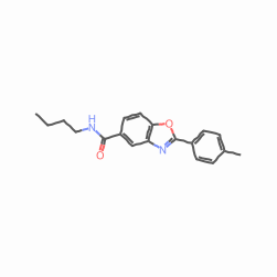 CCCCNC(=O)c1ccc2oc(-c3ccc(C)cc3)nc2c1